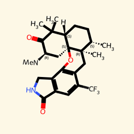 CN[C@@H]1C[C@@]23Oc4c5c(cc(C(F)(F)F)c4C[C@]2(C)[C@@H](C)CC[C@H]3C(C)(C)C1=O)C(=O)NC5